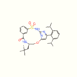 CC(C)c1cccc(C(C)C)c1-c1cc2nc(n1)NS(=O)(=O)c1cccc(c1)C(=O)N[C@H](CC(C)(C)C)CO2